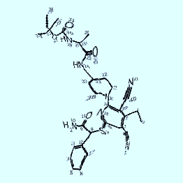 CCc1c(C#N)c(SC(C(N)=O)c2ccccc2)nc(N2CCC(NC(=O)[C@H](C)NC(=O)OC(C)(C)C)CC2)c1C#N